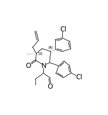 C=CC[C@@]1(C)C[C@H](c2cccc(Cl)c2)C(c2ccc(Cl)cc2)N(C(C=O)CC)C1=O